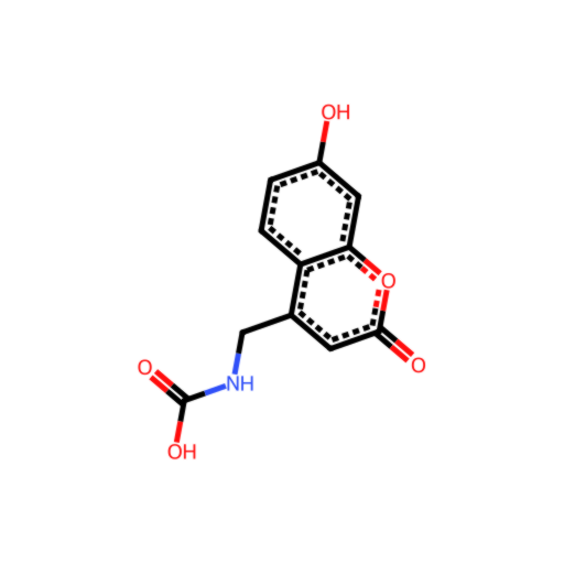 O=C(O)NCc1cc(=O)oc2cc(O)ccc12